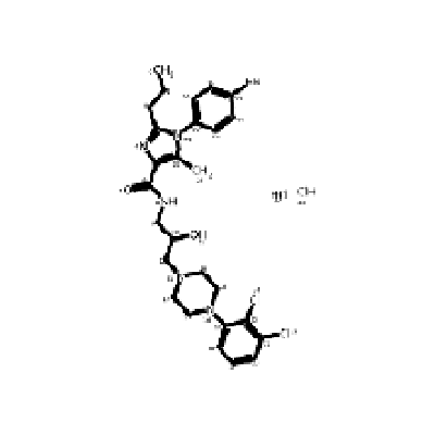 CCCc1nc(C(=O)NCC(O)CN2CCN(c3cccc(Cl)c3Cl)CC2)c(C)n1-c1ccc(F)cc1.Cl.Cl